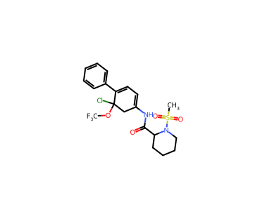 CS(=O)(=O)N1CCCCC1C(=O)NC1=CC=C(c2ccccc2)C(Cl)(OC(F)(F)F)C1